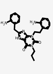 CCCn1c(=O)c2[nH]c(Cc3ccccc3N)nc2n(CCc2ccccc2N)c1=O